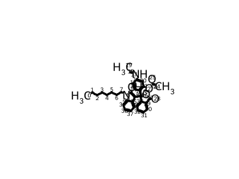 CCCCCCCCn1c(C)c(C2(c3ccc(NCC)cc3OC(C)=O)OC(=O)c3ccccc32)c2ccccc21